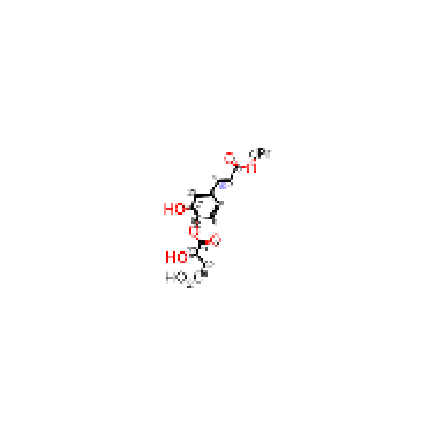 CC(C)OC(=O)/C=C/c1ccc(OC(=O)C(O)CC(=O)O)c(O)c1